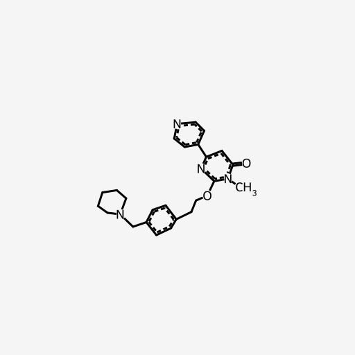 Cn1c(OCCc2ccc(CN3CCCCC3)cc2)nc(-c2ccncc2)cc1=O